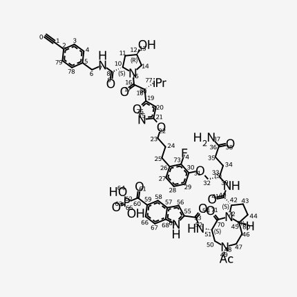 C#Cc1ccc(CNC(=O)[C@@H]2C[C@@H](O)CN2C(=O)[C@@H](c2cc(OCCCc3cccc(OC[C@H](CCC(N)=O)NC(=O)[C@@H]4CC[C@@H]5CCN(C(C)=O)C[C@H](NC(=O)c6cc7cc(C(=O)P(=O)(O)O)ccc7[nH]6)C(=O)N54)c3F)no2)C(C)C)cc1